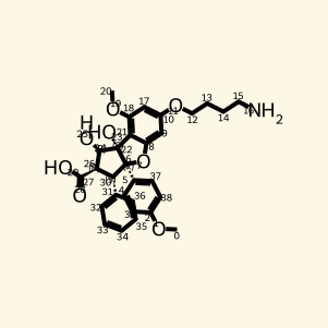 COc1ccc([C@@]23Oc4cc(OCCCCN)cc(OC)c4[C@]2(O)[C@H](O)[C@H](C(=O)O)[C@H]3c2ccccc2)cc1